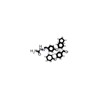 NC(=O)N/N=C/c1ccc(Oc2ccc3c(c2)CCC3)cc1.O=Cc1ccc(OC2CCCCC2)cc1